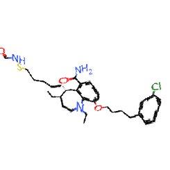 CC[C@@H]1CCN(CC)c2c(OCCCCc3cccc(Cl)c3)ccc(C(N)=O)c2[C@H]1/C=C/CCCSNC=O